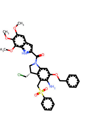 COc1cc2cc(C(=O)N3C[C@@H](CCl)c4c3cc(OCc3ccccc3)c(N)c4CS(=O)(=O)c3ccccc3)[nH]c2c(OC)c1OC